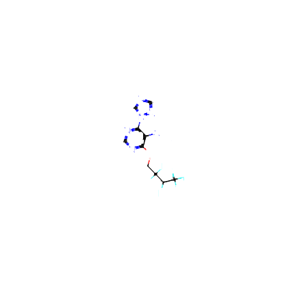 Nc1c(OCC(F)(F)C(F)C(F)(F)F)ncnc1-n1cncn1